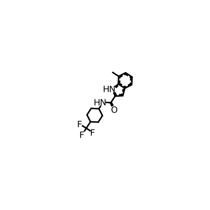 Cc1cccc2cc(C(=O)NC3CCC(C(F)(F)F)CC3)[nH]c12